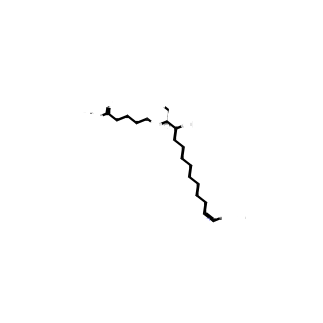 CCCCCC/C=C\CCCCCCCCC(O)[C@H](CO)OCCCCC(=O)OC(C)(C)C